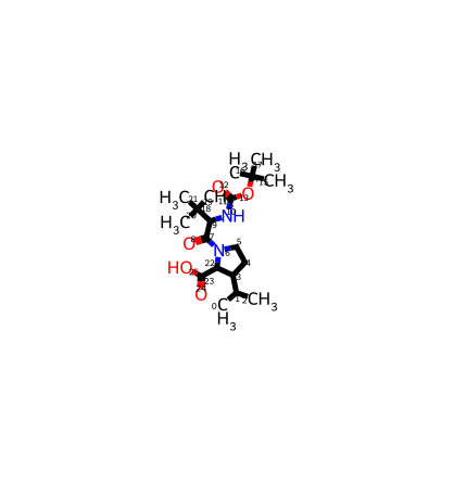 CC(C)C1CCN(C(=O)C(NC(=O)OC(C)(C)C)C(C)(C)C)C1C(=O)O